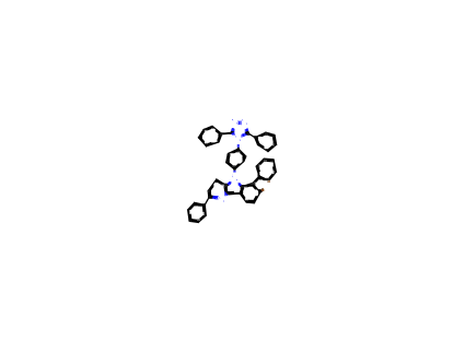 c1ccc(-c2ccc3c(n2)c2ccc4sc5ccccc5c4c2n3-c2ccc(-n3c(-c4ccccc4)nnc3-c3ccccc3)cc2)cc1